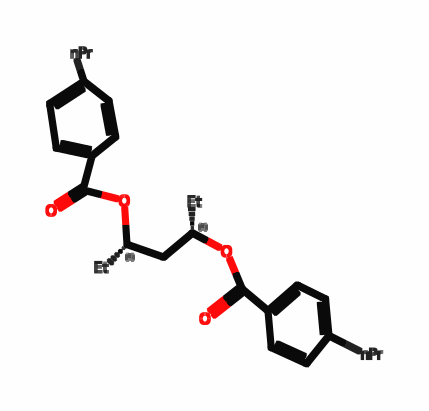 CCCc1ccc(C(=O)O[C@@H](CC)C[C@H](CC)OC(=O)c2ccc(CCC)cc2)cc1